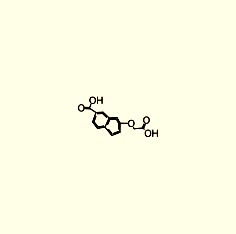 O=C(O)COc1ccc2ccc(C(=O)O)cc2c1